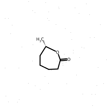 C[C@H]1CCCCC(=O)O1